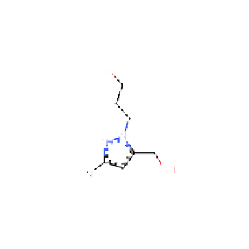 O=[N+]([O-])c1cc(CO)n(CCCBr)n1